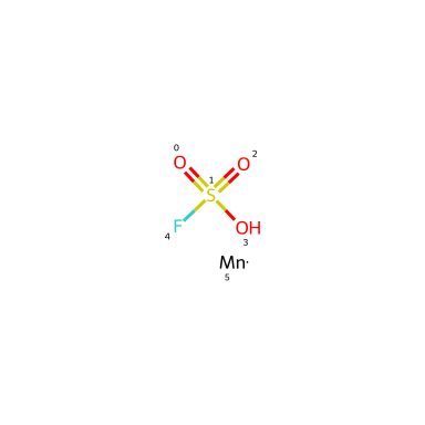 O=S(=O)(O)F.[Mn]